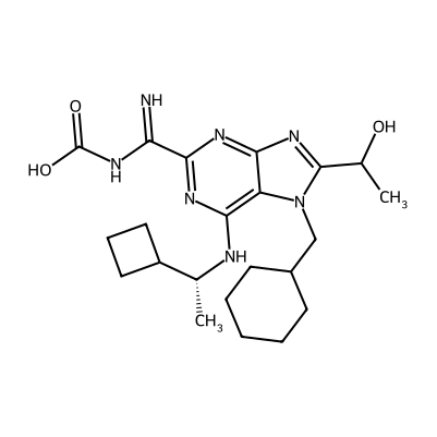 CC(O)c1nc2nc(C(=N)NC(=O)O)nc(N[C@H](C)C3CCC3)c2n1CC1CCCCC1